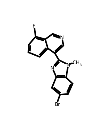 Cn1c(-c2cncc3c(F)cccc23)nc2cc(Br)ccc21